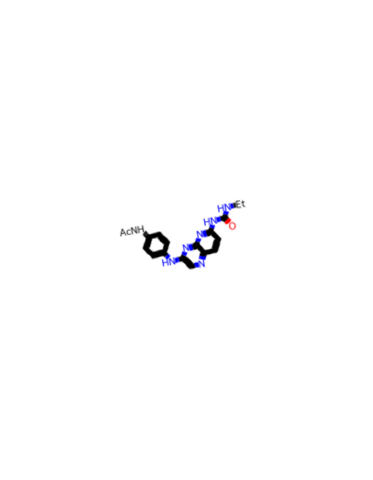 CCNC(=O)Nc1ccc2ncc(Nc3ccc(NC(C)=O)cc3)nc2n1